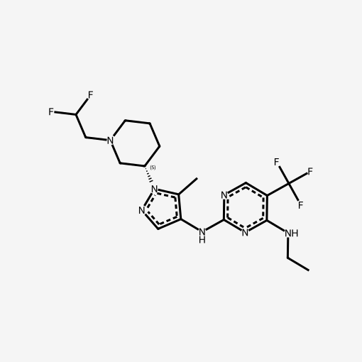 CCNc1nc(Nc2cnn([C@H]3CCCN(CC(F)F)C3)c2C)ncc1C(F)(F)F